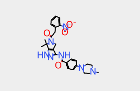 CN1CCN(c2ccc(C(=O)Nc3n[nH]c4c3CN(C(=O)Cc3ccccc3[N+](=O)[O-])C4(C)C)cc2)CC1